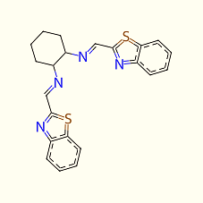 C(=NC1CCCCC1N=Cc1nc2ccccc2s1)c1nc2ccccc2s1